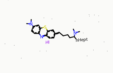 CCCCCCCC(CCCC=c1ccc2c(c1)Sc1cc(N(C)C)ccc1N=2)N(C)C.I